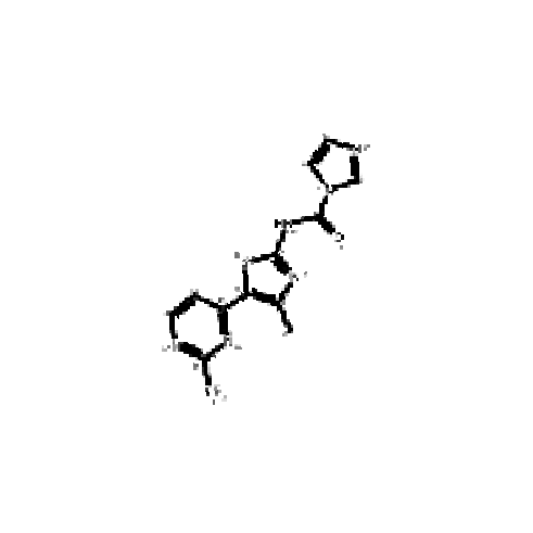 Cc1nc(NC(=O)n2ccnc2)sc1-c1ccnc(C(F)(F)F)n1